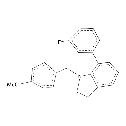 COc1ccc(CN2CCc3cccc(-c4cccc(F)c4)c32)cc1